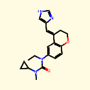 CCN(C(=O)N(C)C1CC1)c1ccc2c(c1)/C(=C/c1c[nH]cn1)CCO2